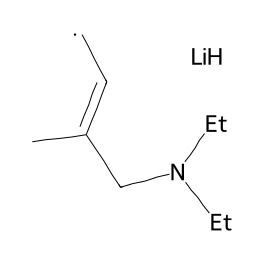 [CH2]C=C(C)CN(CC)CC.[LiH]